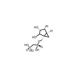 CC(C)[C@@H]1[C@H]2C[C@@]2(COP(=O)(O)CP(=O)(O)O)C(O)[C@@H]1O